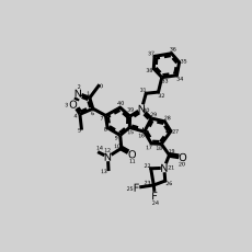 Cc1noc(C)c1-c1cc(C(=O)N(C)C)c2c3cc(C(=O)N4CC(F)(F)C4)ccc3n(CCc3ccccc3)c2c1